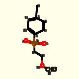 Cc1ccc(S(=O)(=O)CCOC=O)cc1